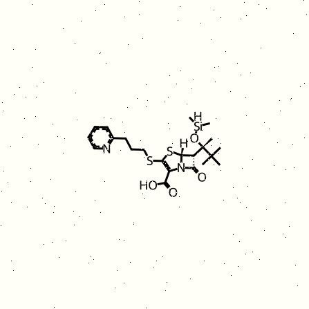 C[SiH](C)O[C@@](C)([C@@H]1C(=O)N2C(C(=O)O)=C(SCCCc3ccccn3)S[C@H]12)C(C)(C)C